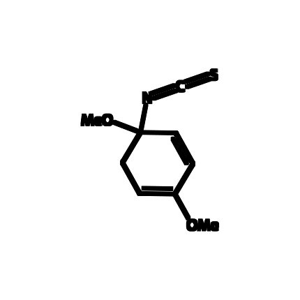 COC1=CCC(N=C=S)(OC)C=C1